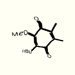 CCCCC1=C(OC)C(=O)C(C)=C(C)C1=O